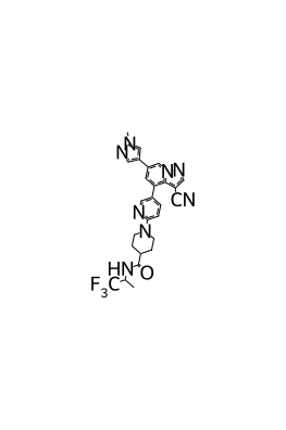 CC(NC(=O)C1CCN(c2ccc(-c3cc(-c4cnn(C)c4)cn4ncc(C#N)c34)cn2)CC1)C(F)(F)F